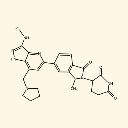 CC(C)Nc1n[nH]c2c(CN3CCCC3)cc(-c3ccc4c(c3)C(C)N(C3CCC(=O)NC3=O)C4=O)nc12